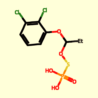 CCC(OSP(=O)(O)O)Oc1cccc(Cl)c1Cl